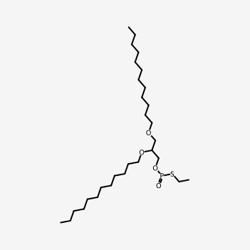 CCCCCCCCCCCCOCC(CO[P](=O)SCC)OCCCCCCCCCCCC